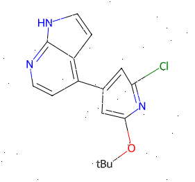 CC(C)(C)Oc1cc(-c2ccnc3[nH]ccc23)cc(Cl)n1